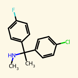 CNC(C)(c1ccc(F)cc1)c1ccc(Cl)cc1